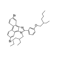 CCCCC(CC)COc1cccc(-c2nc3c4cc(Br)ccc4c4ccc(Br)cc4c3n2CC(CC)CCCC)c1